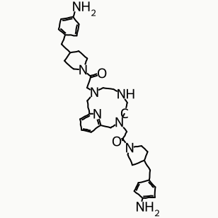 Nc1ccc(CC2CCN(C(=O)CN3CCNCCN(CC(=O)N4CCC(Cc5ccc(N)cc5)CC4)Cc4cccc(n4)C3)CC2)cc1